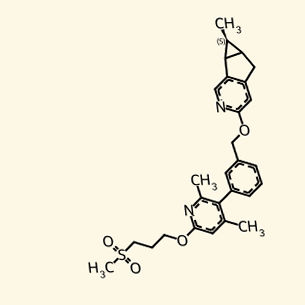 Cc1cc(OCCCS(C)(=O)=O)nc(C)c1-c1cccc(COc2cc3c(cn2)C2C(C3)[C@@H]2C)c1